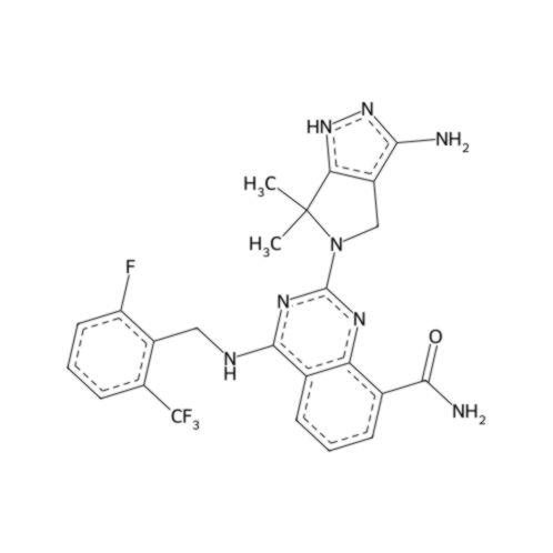 CC1(C)c2[nH]nc(N)c2CN1c1nc(NCc2c(F)cccc2C(F)(F)F)c2cccc(C(N)=O)c2n1